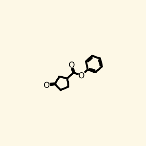 O=C1CCC(C(=O)Oc2ccccc2)C1